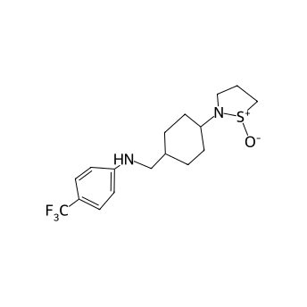 [O-][S+]1CCCN1C1CCC(CNc2ccc(C(F)(F)F)cc2)CC1